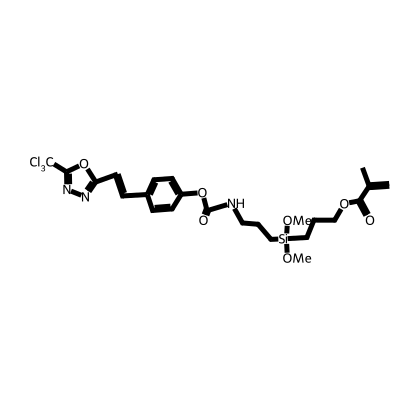 C=C(C)C(=O)OCCC[Si](CCCNC(=O)Oc1ccc(C=Cc2nnc(C(Cl)(Cl)Cl)o2)cc1)(OC)OC